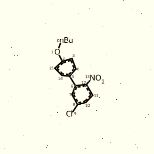 CCCCOc1ccc(-c2cc(Cl)ccc2[N+](=O)[O-])cc1